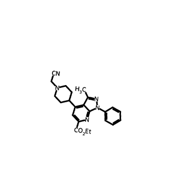 CCOC(=O)c1cc(C2CCN(CC#N)CC2)c2c(C)nn(-c3ccccc3)c2n1